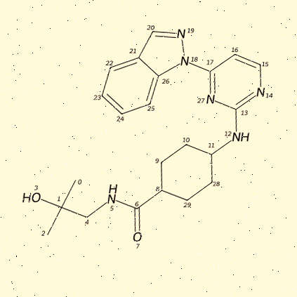 CC(C)(O)CNC(=O)C1CCC(Nc2nccc(-n3ncc4ccccc43)n2)CC1